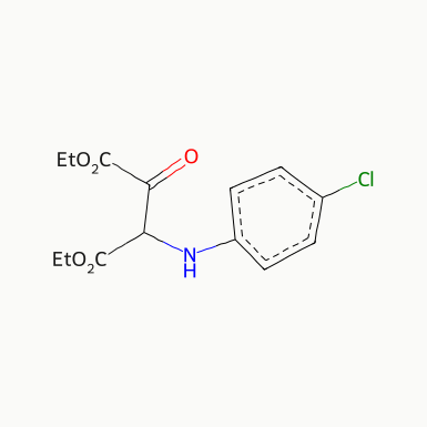 CCOC(=O)C(=O)C(Nc1ccc(Cl)cc1)C(=O)OCC